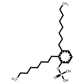 CCCCCCCCc1cccc(OP(=O)(O)O)c1CCCCCCCC